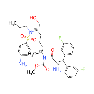 CCCN([C@H](CO)CCC[C@H](C)N(C(=O)OC)C(=O)[C@@H](N)C(c1cccc(F)c1)c1cccc(F)c1)S(=O)(=O)c1ccc(N)cc1